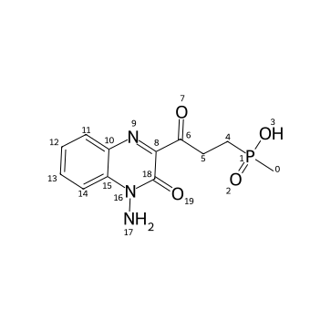 CP(=O)(O)CCC(=O)c1nc2ccccc2n(N)c1=O